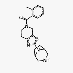 Cc1ccccc1C(=O)N1CCc2nc(N3C4CCC3CNC4)sc2C1